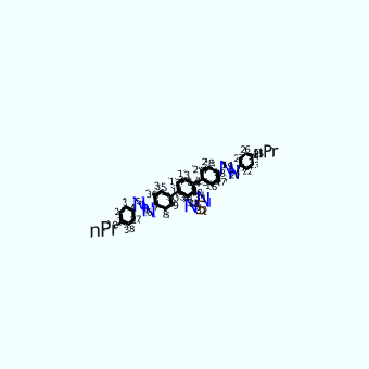 CCCc1ccc(N=Nc2ccc(-c3ccc(-c4ccc(N=Nc5ccc(CCC)cc5)cc4)c4nsnc34)cc2)cc1